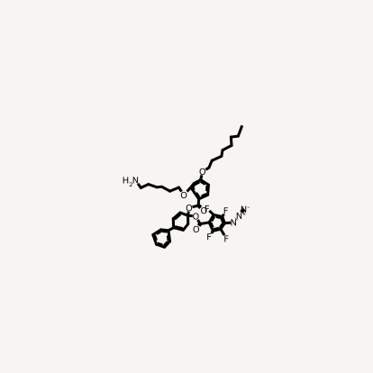 CCCCCCCCOc1ccc(C(=O)OC2(OC(=O)c3c(F)c(F)c(N=[N+]=[N-])c(F)c3F)C=CC(c3ccccc3)=CC2)c(OCCCCCCN)c1